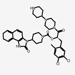 Cc1cc(Cl)c(Cl)cc1C[C@@H](OC(=O)N1CCC(n2c(=O)[nH]c3c4c(ccc32)=CCCC=4)CC1)C(=O)N1CCN(C2CCNCC2)CC1